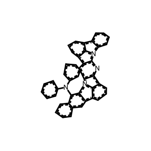 c1ccc(N(c2ccccc2)c2c3ccccc3cc3c4cccc5c6nc7c(cc6n(c23)c45)c2cccc3c4ccccc4n7c32)cc1